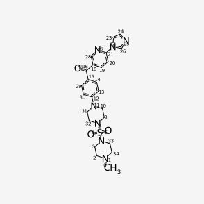 CN1CCN(S(=O)(=O)N2CCN(c3ccc(C(=O)c4ccc(-n5ccnc5)nc4)cc3)CC2)CC1